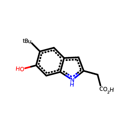 CC(C)(C)c1cc2cc(CC(=O)O)[nH]c2cc1O